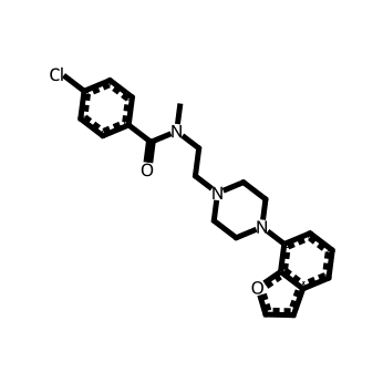 CN(CCN1CCN(c2cccc3ccoc23)CC1)C(=O)c1ccc(Cl)cc1